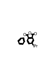 CC(C)c1ccc2c(c1)C(=O)OC2=O.c1ccccc1